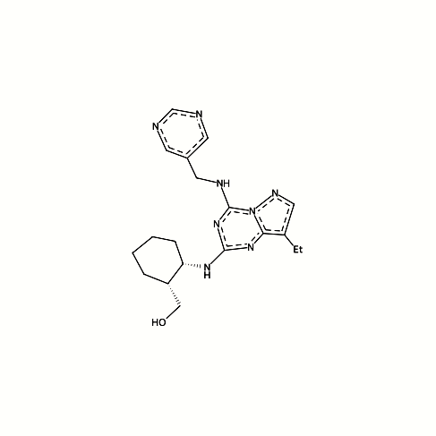 CCc1cnn2c(NCc3cncnc3)nc(N[C@H]3CCCC[C@H]3CO)nc12